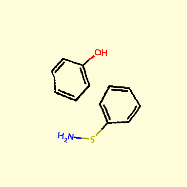 NSc1ccccc1.Oc1ccccc1